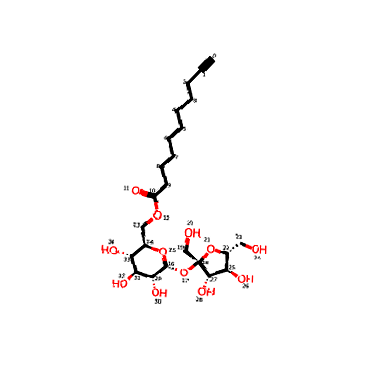 C#CCCCCCCCCC(=O)OC[C@H]1O[C@H](O[C@]2(CO)O[C@H](CO)[C@@H](O)[C@@H]2O)[C@H](O)[C@@H](O)[C@@H]1O